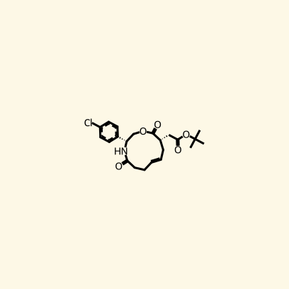 CC(C)(C)OC(=O)C[C@@H]1C/C=C/CCC(=O)N[C@H](c2ccc(Cl)cc2)COC1=O